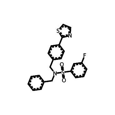 O=S(=O)(c1cccc(F)c1)N(Cc1ccccc1)Cc1ccc(-c2nccs2)cc1